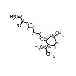 C=CC(=O)NCCCCOC1CC(C)CCC1C(C)C